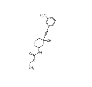 CCOC(=O)NC1CCCC(O)(C#Cc2cccc(C)c2)C1